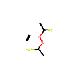 C=C.CC(S)OOC(C)S